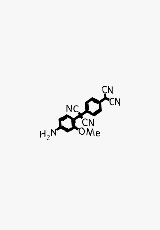 COc1cc(N)ccc1C(C#N)(C#N)c1ccc(C(C#N)C#N)cc1